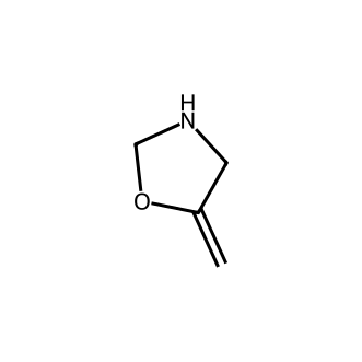 C=C1CNCO1